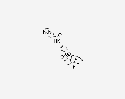 COc1c(C(F)(F)F)cccc1S(=O)(=O)c1ccc(CNC(=O)c2ccc3nccn3c2)cc1